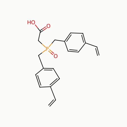 C=Cc1ccc(CP(=O)(CC(=O)O)Cc2ccc(C=C)cc2)cc1